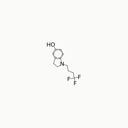 Oc1ccc2c(c1)CCN2CCCC(F)(F)F